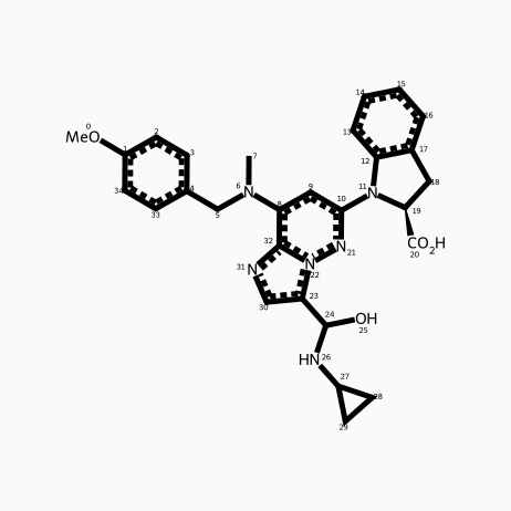 COc1ccc(CN(C)c2cc(N3c4ccccc4C[C@H]3C(=O)O)nn3c(C(O)NC4CC4)cnc23)cc1